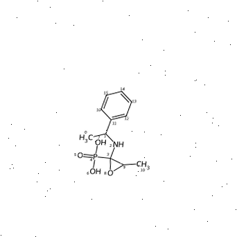 CC(NC1(P(=O)(O)O)OC1C)c1ccccc1